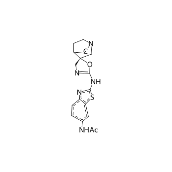 CC(=O)Nc1ccc2nc(NC3=NC[C@@]4(CN5CCC4CC5)O3)sc2c1